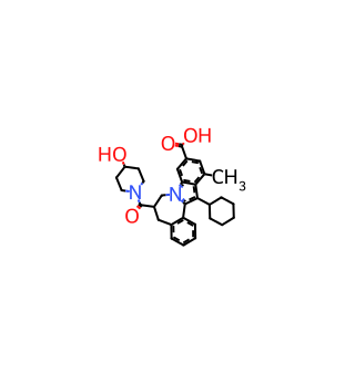 Cc1cc(C(=O)O)cc2c1c(C1CCCCC1)c1n2CC(C(=O)N2CCC(O)CC2)Cc2ccccc2-1